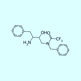 NC(Cc1ccccc1)C(O)CN(Cc1ccccc1)C(=O)C(F)(F)F